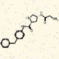 NCC(=O)N[C@H]1CN[C@H](C(=O)Nc2ccc(Cc3ccccc3)cc2)C1